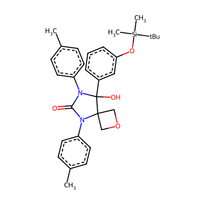 Cc1ccc(N2C(=O)N(c3ccc(C)cc3)C(O)(c3cccc(O[Si](C)(C)C(C)(C)C)c3)C23COC3)cc1